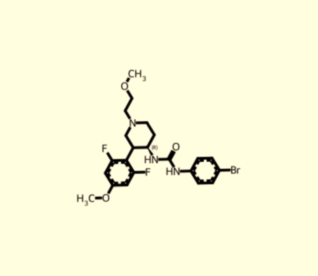 COCCN1CC[C@@H](NC(=O)Nc2ccc(Br)cc2)C(c2c(F)cc(OC)cc2F)C1